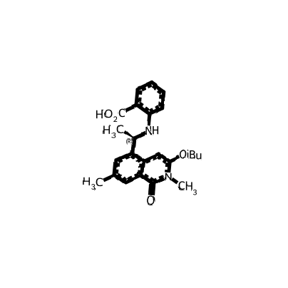 Cc1cc([C@@H](C)Nc2ccccc2C(=O)O)c2cc(OCC(C)C)n(C)c(=O)c2c1